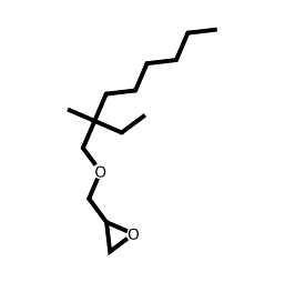 CCCCCCC(C)(CC)COCC1CO1